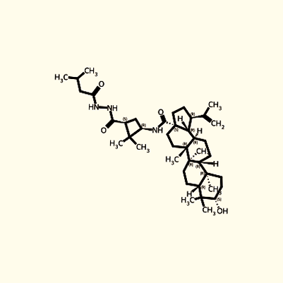 C=C(C)[C@@H]1CC[C@]2(C(=O)N[C@@H]3C[C@H](C(=O)NNC(=O)CC(C)C)C3(C)C)CC[C@]3(C)[C@H](CC[C@@H]4[C@@]5(C)CC[C@H](O)C(C)(C)[C@@H]5CC[C@]43C)[C@@H]12